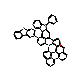 c1ccc(-c2cccc3cccc(-c4ccccc4N(c4ccc(-c5ccc6oc7ccccc7c6c5)cc4)c4ccccc4-c4ccc5c6ccccc6n(-c6ccccc6)c5c4)c23)cc1